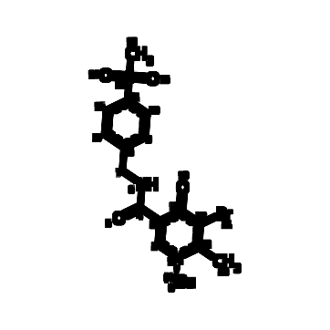 CC[C@@H](C)n1cc(C(=O)NCc2ccc(S(C)(=O)=O)cc2)c(=O)c(Br)c1C